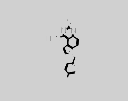 CC(C)c1ccc(Cn2ccc3c4c(N)nc(N)nc4ccc32)nc1